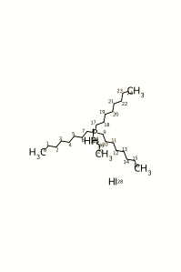 CCCCCCCC[PH](CCCCCCCC)(CCCCCCCC)PCC.I